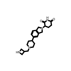 O=C1CCC(N2Cc3ccc(C4CCN(CC5CNC5)CC4)cc3C2)C(=O)N1